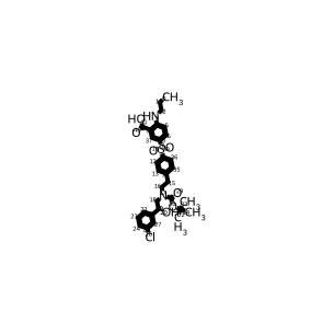 CCCNc1ccc(S(=O)(=O)c2ccc(CCN(C[C@H](O)c3cccc(Cl)c3)C(=O)OC(C)(C)C)cc2)cc1C(=O)O